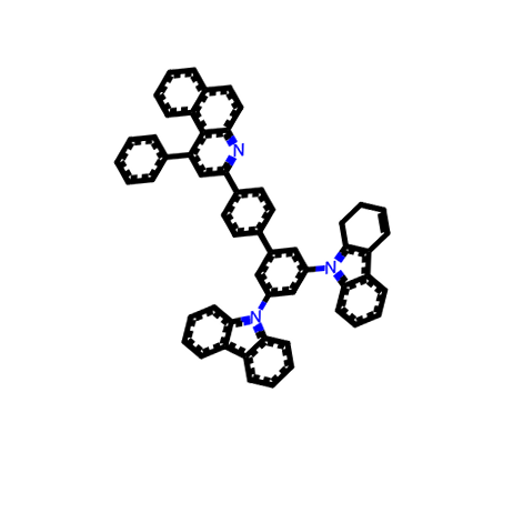 C1=Cc2c(n(-c3cc(-c4ccc(-c5cc(-c6ccccc6)c6c(ccc7ccccc76)n5)cc4)cc(-n4c5ccccc5c5ccccc54)c3)c3ccccc23)CC1